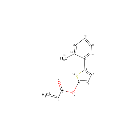 C=CC(=O)Oc1ccc(-c2ccccc2C)s1